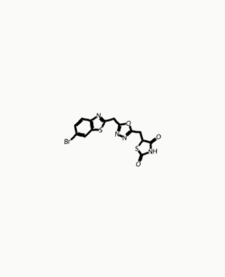 O=C1NC(=O)C(Cc2nnc(Cc3nc4ccc(Br)cc4s3)o2)S1